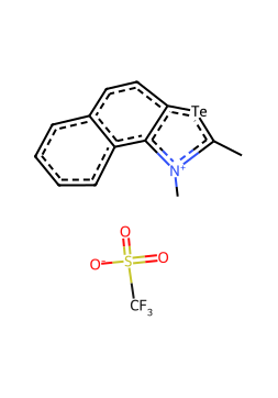 Cc1[te]c2ccc3ccccc3c2[n+]1C.O=S(=O)([O-])C(F)(F)F